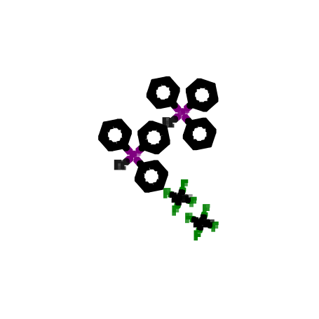 CC[P+](c1ccccc1)(c1ccccc1)c1ccccc1.CC[P+](c1ccccc1)(c1ccccc1)c1ccccc1.[F][Mn-]([F])([F])[F].[F][Mn-]([F])([F])[F]